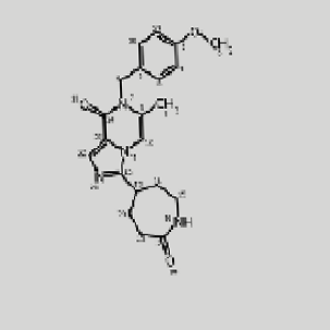 COc1ccc(Cn2c(C)cn3c(C4CCNC(=O)CC4)ncc3c2=O)cc1